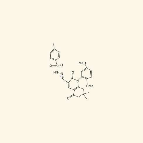 COc1ccc(OC)c(-n2c3c(cc(/C=N/NS(=O)(=O)c4ccc(C)cc4)c2=O)C(=O)CC(C)(C)C3)c1